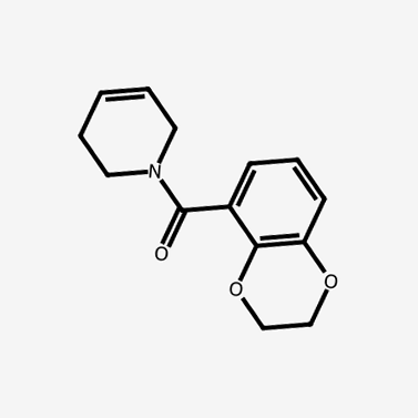 O=C(c1cccc2c1OCCO2)N1CC=CCC1